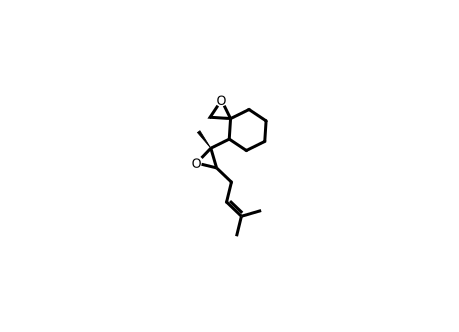 CC(C)=CCC1O[C@]1(C)C1CCCCC12CO2